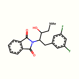 CNCC(O)C(Cc1cc(F)cc(F)c1)N1C(=O)c2ccccc2C1=O